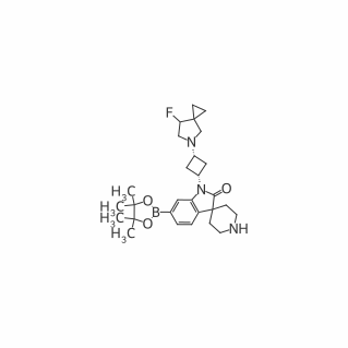 CC1(C)OB(c2ccc3c(c2)N([C@H]2C[C@@H](N4CC(F)C5(CC5)C4)C2)C(=O)C32CCNCC2)OC1(C)C